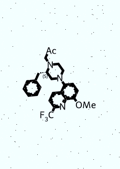 COc1ccc(N2CCN(CC(C)=O)[C@@H](Cc3ccccc3)C2)c2ccc(C(F)(F)F)nc12